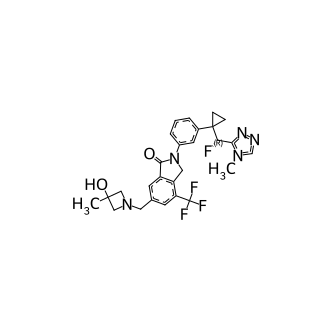 Cn1cnnc1[C@H](F)C1(c2cccc(N3Cc4c(cc(CN5CC(C)(O)C5)cc4C(F)(F)F)C3=O)c2)CC1